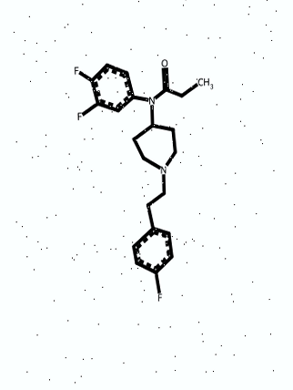 CCC(=O)N(c1ccc(F)c(F)c1)C1CCN(CCc2ccc(F)cc2)CC1